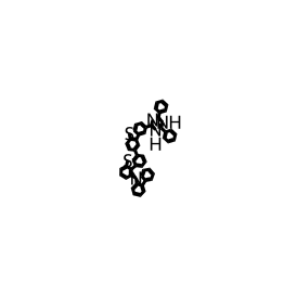 c1ccc(C2=NC(c3ccc4sc5ccc(-c6cccc7c6sc6cccc(-n8c9ccccc9c9ccccc98)c67)cc5c4c3)NC(c3ccccc3)N2)cc1